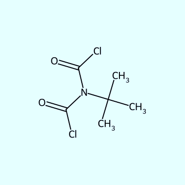 CC(C)(C)N(C(=O)Cl)C(=O)Cl